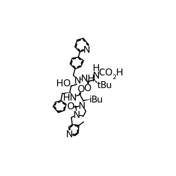 CC[C@H](C)[C@@H](C(=O)N[C@@H](Cc1ccccc1)[C@@H](O)CN(Cc1ccc(-c2ccccn2)cc1)NC(=O)[C@@H](NC(=O)O)C(C)(C)C)N1CCN(Cc2cnccc2C)C1=O